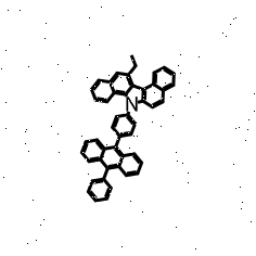 CCc1cc2ccccc2c2c1c1c3ccccc3ccc1n2-c1ccc(-c2c3ccccc3c(-c3ccccc3)c3ccccc23)cc1